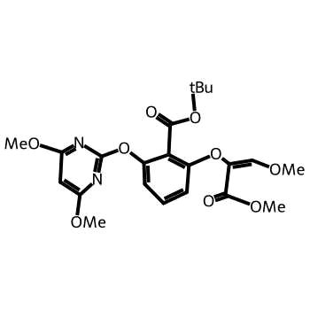 COC=C(Oc1cccc(Oc2nc(OC)cc(OC)n2)c1C(=O)OC(C)(C)C)C(=O)OC